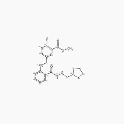 COC(=O)c1cc(CNc2ccccc2C(=O)NOCC2CCCC2)ccc1F